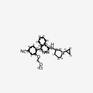 CCOCOc1cc(C#N)ccc1-c1nnc(NC2CCCN(C3CC3)C2)c2ccccc12